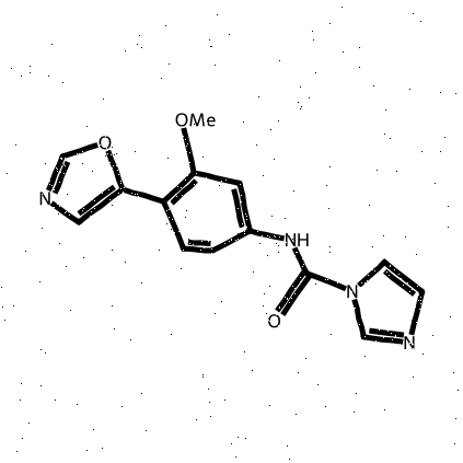 COc1cc(NC(=O)n2ccnc2)ccc1-c1cnco1